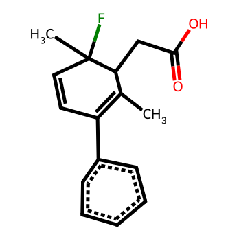 CC1=C(c2ccccc2)C=CC(C)(F)C1CC(=O)O